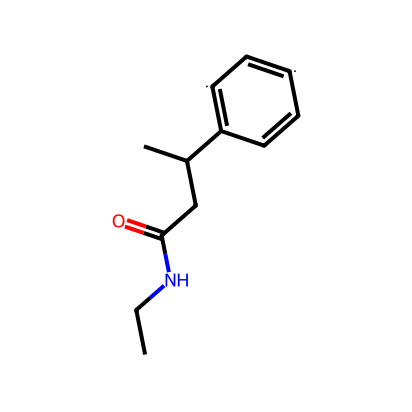 CCNC(=O)CC(C)c1[c]c[c]cc1